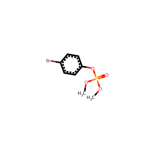 COP(=O)(OC)Oc1ccc(Br)cc1